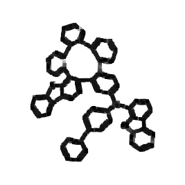 c1ccc(-c2ccc(N(c3ccc4c5ccccc5c5ccccc5c5ccccc5c5c(ccc6c7ccccc7sc65)c4c3)c3cccc4c3oc3ccccc34)cc2)cc1